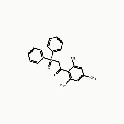 Cc1cc(C)c(C(=O)CP(=O)(c2ccccc2)c2ccccc2)c(C)c1